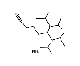 CC(C)N(C(C)C)P(OCCC#N)N(C(C)C)C(C)C.[PbH2]